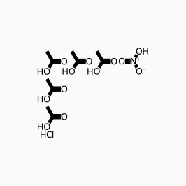 CC(=O)O.CC(=O)O.CC(=O)O.CC(=O)O.CC(=O)O.Cl.O=[N+]([O-])O